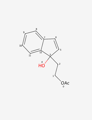 CC(=O)OCCC1(O)C=Cc2ccccc21